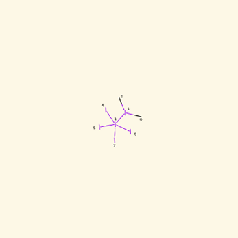 CI(C)I(I)(I)(I)I